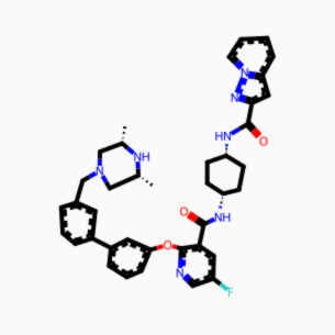 C[C@@H]1CN(Cc2cccc(-c3cccc(Oc4ncc(F)cc4C(=O)N[C@H]4CC[C@@H](NC(=O)c5cc6ccccn6n5)CC4)c3)c2)C[C@H](C)N1